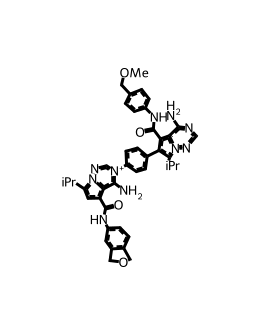 COCc1ccc(NC(=O)c2c(-c3ccc(-[n+]4cnn5c(C(C)C)cc(C(=O)Nc6ccc7c(c6)COC7)c5c4N)cc3)c(C(C)C)n3ncnc(N)c23)cc1